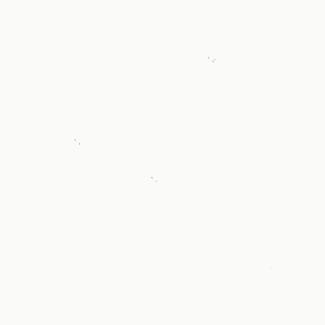 CCOC(=O)COC(=O)Oc1cc(/C=C(\C#N)C(=O)N(CC)CC)cc([N+](=O)[O-])c1O